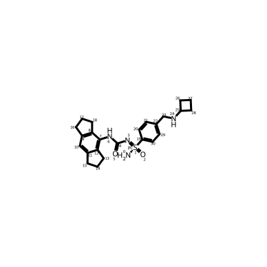 N[S@@](=O)(=NC(=O)Nc1c2c(cc3c1CCC3)CCC2)c1ccc(CNC2CCC2)cc1